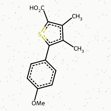 COc1ccc(-c2sc(C(=O)O)c(C)c2C)cc1